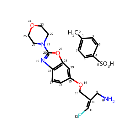 Cc1ccc(S(=O)(=O)O)cc1.NC/C(=C/F)COc1ccc2nc(N3CCOCC3)oc2c1